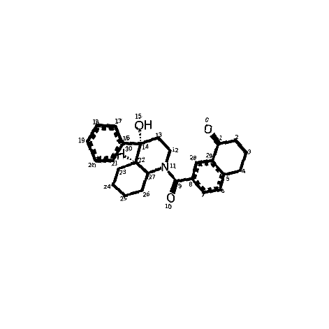 O=C1CCCc2ccc(C(=O)N3CC[C@](O)(c4ccccc4)[C@@H]4CCCCC43)cc21